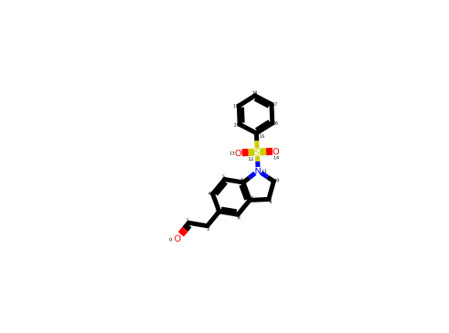 O=CCc1ccc2c(c1)CCN2S(=O)(=O)c1ccccc1